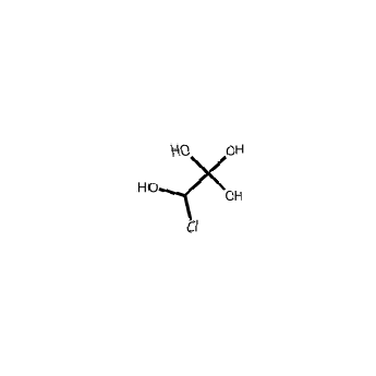 OC(Cl)C(O)(O)O